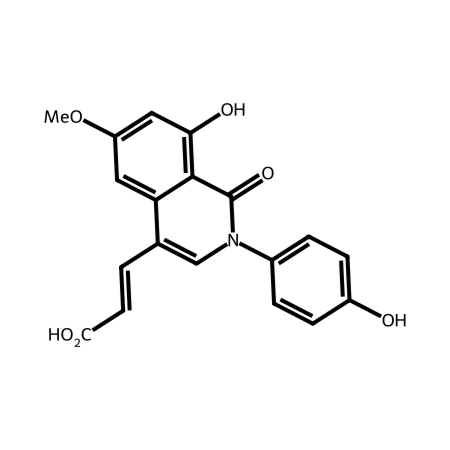 COc1cc(O)c2c(=O)n(-c3ccc(O)cc3)cc(/C=C/C(=O)O)c2c1